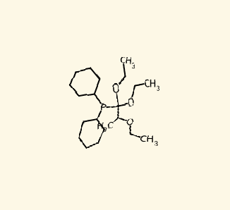 CCOC(C)C(OCC)(OCC)P(C1CCCCC1)C1CCCCC1